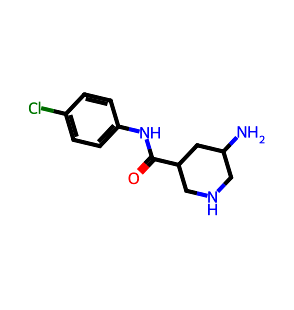 NC1CNCC(C(=O)Nc2ccc(Cl)cc2)C1